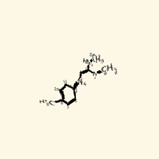 C=N/C(=C\N=C1\C=CC(C)=CC1)NC